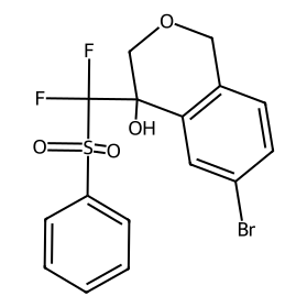 O=S(=O)(c1ccccc1)C(F)(F)C1(O)COCc2ccc(Br)cc21